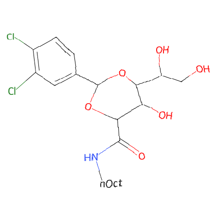 CCCCCCCCNC(=O)C1OC(c2ccc(Cl)c(Cl)c2)OC(C(O)CO)C1O